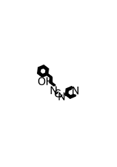 Oc1ccccc1CCCN=C=Nc1ccncc1